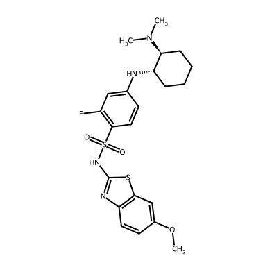 COc1ccc2nc(NS(=O)(=O)c3ccc(N[C@H]4CCCC[C@@H]4N(C)C)cc3F)sc2c1